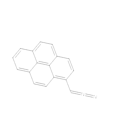 [N-]=[N+]=Cc1ccc2ccc3cccc4ccc1c2c34